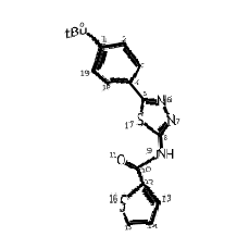 CC(C)(C)c1ccc(-c2nnc(NC(=O)c3cccs3)s2)cc1